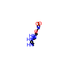 Cc1cc2cc(Nc3ccnc(Nc4cccc(OCCCN5CCC(S(C)(=O)=O)CC5)c4)n3)ccc2[nH]1